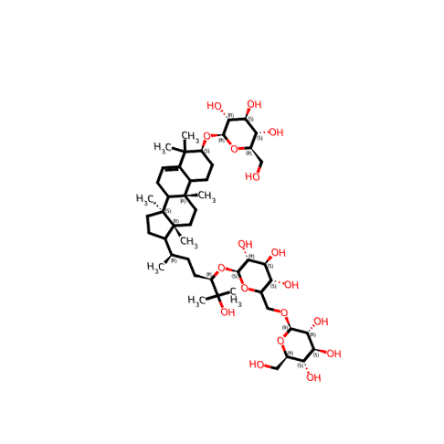 C[C@H](CC[C@@H](O[C@@H]1OC(CO[C@@H]2O[C@H](CO)[C@@H](O)[C@H](O)[C@H]2O)[C@@H](O)[C@H](O)[C@H]1O)C(C)(C)O)C1CC[C@@]2(C)C3CC=C4C(CC[C@H](O[C@@H]5O[C@H](CO)[C@@H](O)[C@H](O)[C@H]5O)C4(C)C)[C@]3(C)CC[C@]12C